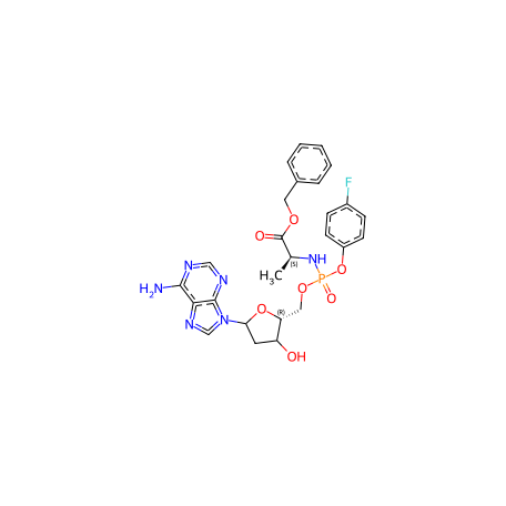 C[C@H](NP(=O)(OC[C@H]1OC(n2cnc3c(N)ncnc32)CC1O)Oc1ccc(F)cc1)C(=O)OCc1ccccc1